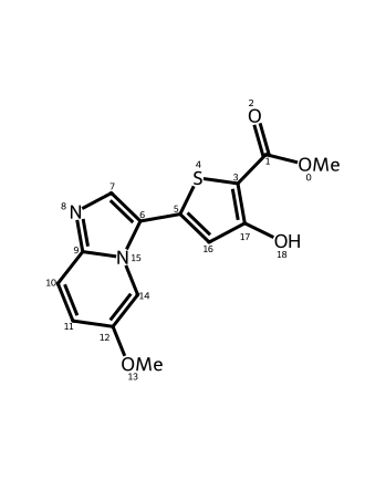 COC(=O)c1sc(-c2cnc3ccc(OC)cn23)cc1O